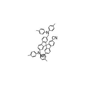 Cc1ccc(N(Cc2ccc3c(c2)C2(c4cc(C#N)ccc4-c4ccc(C#N)cc42)c2cc(N(c4ccc(C)cc4)c4ccc(C)cc4)ccc2-3)c2ccc(C)cc2)cc1